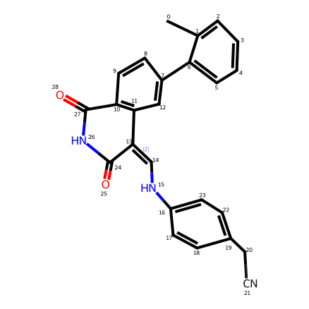 Cc1ccccc1-c1ccc2c(c1)/C(=C/Nc1ccc(CC#N)cc1)C(=O)NC2=O